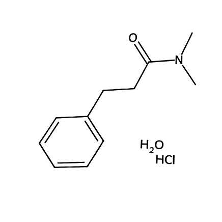 CN(C)C(=O)CCc1ccccc1.Cl.O